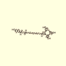 O=C[C@H](Cc1ccc(O)cc1)NC(=O)CCC(=O)NCCCOCCOCCOCCCCNC(=O)CN1CCN(CC(=O)O)CCCN(CC(=O)O)CCN(CC(=O)O)CC1